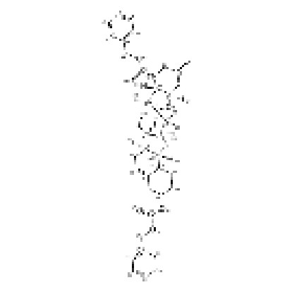 C[C@H]1C[C@H]2O[C@]3(CC[C@H]4[C@@H]5CC=C6C[C@@H](OC(=O)OCc7ccccc7)CC[C@]6(C)[C@H]5C[C@]4(C)C3(C)C)[C@H](C)[C@@H]2N(C(=O)OCc2ccccc2)C1